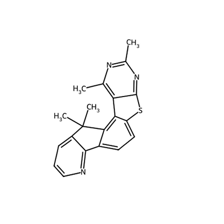 Cc1nc(C)c2c(n1)sc1ccc3c(c12)C(C)(C)c1cccnc1-3